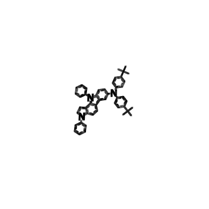 CC(C)(C)c1ccc(N(c2ccc(C(C)(C)C)cc2)c2ccc3c(c2)c2ccc4c(ccn4-c4ccccc4)c2n3-c2ccccc2)cc1